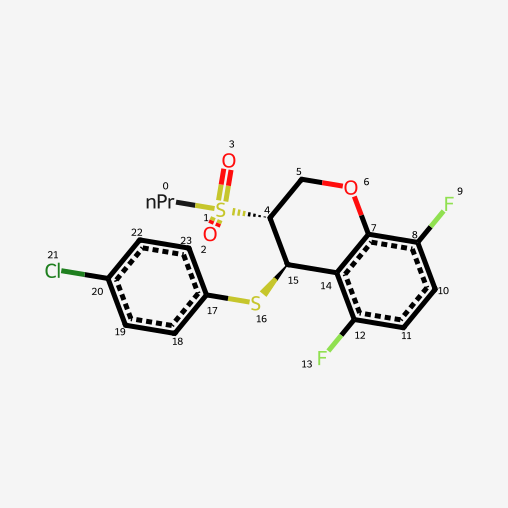 CCCS(=O)(=O)[C@@H]1COc2c(F)ccc(F)c2[C@H]1Sc1ccc(Cl)cc1